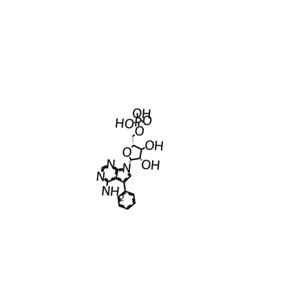 Nc1ncnc2c1c(-c1ccccc1)cn2[C@@H]1O[C@H](COP(=O)(O)O)C(O)[C@@H]1O